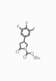 CC(C)(C)OC(=O)N1CC(c2cc(F)c(F)c(F)c2)CC1=O